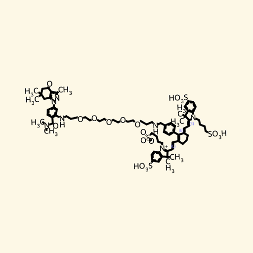 Cc1nn(-c2ccc(C(=O)N(C)C)c(NCCCOCCOCCOCCOCCOCCCNCc3ccc(C4=C(/C=C/C5=[N+](CCCCS(=O)(=O)[O-])c6ccc(S(=O)(=O)O)cc6C5(C)C)CCC/C4=C\C=C4\N(CCCCS(=O)(=O)O)c5ccc(S(=O)(=O)O)cc5C4(C)C)cc3)c2)c2c1C(=O)CC(C)(C)C2